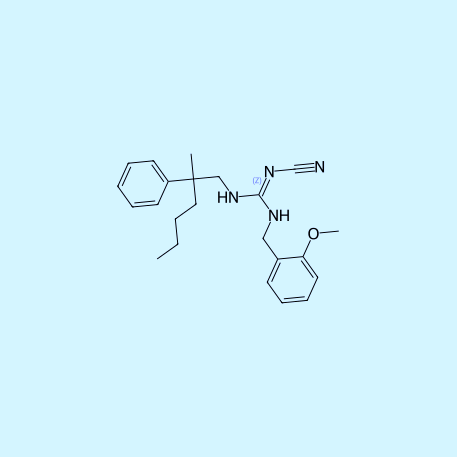 CCCCC(C)(CN/C(=N/C#N)NCc1ccccc1OC)c1ccccc1